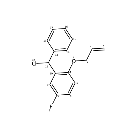 C=CCOc1ccc(F)cc1C(Cl)c1ccccc1